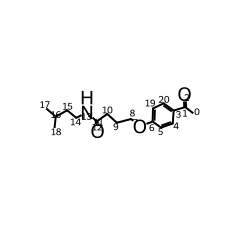 CC(=O)c1ccc(OCCCC(=O)NCCC(C)C)cc1